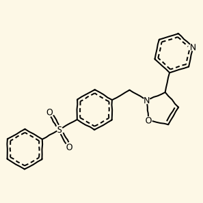 O=S(=O)(c1ccccc1)c1ccc(CN2OC=CC2c2cccnc2)cc1